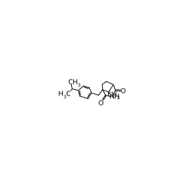 CC(C)c1ccc(CC23CCC(C(=O)NC2=O)C3C)cc1